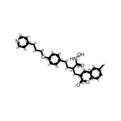 Cc1ccc2oc(=O)c(CC(CCc3ccc(OCCCc4ccncc4)cc3)C(=O)NO)cc2c1